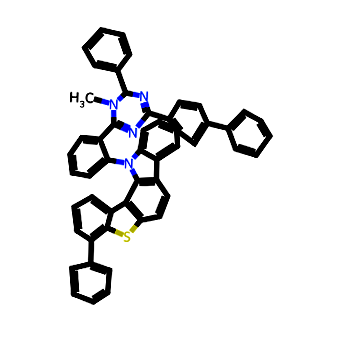 CN1C(c2ccccc2-n2c3ccccc3c3ccc4sc5c(-c6ccccc6)cccc5c4c32)=NC(c2ccc(-c3ccccc3)cc2)=NC1c1ccccc1